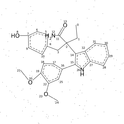 CCC(Cc1ccc(O)cc1)(C(N)=O)c1c(-c2ccc(OC)c(OC)c2)[nH]c2ccccc12